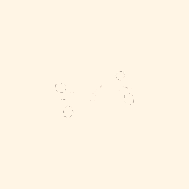 CCOC(CCC[Si](C)(C)O[Si](C)(C)O[Si](C)(C)CCCC(OCC)(C(=O)c1ccccc1)c1ccccc1)(C(=O)c1ccccc1)c1ccccc1